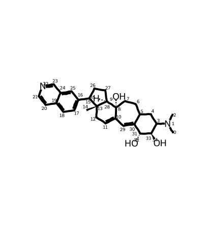 CN(C)C1CC2CC[C@@]3(O)C(=CC[C@]4(C)C(c5ccc6ccncc6c5)CC[C@@H]34)C=C2[C@@H](O)[C@@H]1O